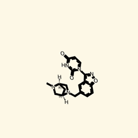 CN1C[C@H]2C[C@@H]1CN2Cc1ccc2onc(-n3ccc(=O)[nH]c3=O)c2c1